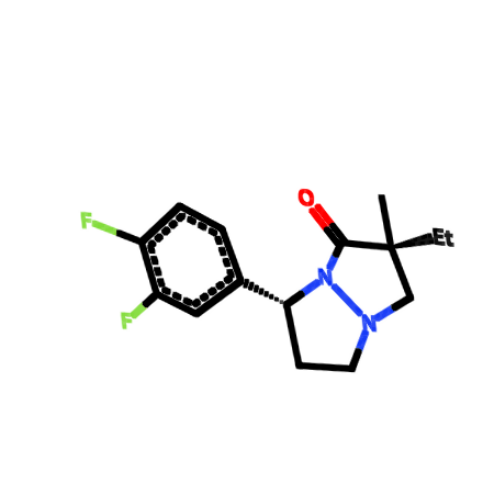 CC[C@@]1(C)CN2CC[C@H](c3ccc(F)c(F)c3)N2C1=O